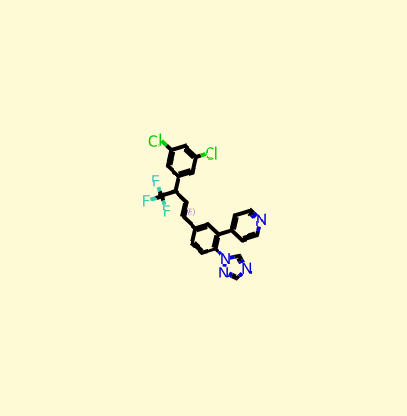 FC(F)(F)C(/C=C/c1ccc(-n2cncn2)c(-c2ccncc2)c1)c1cc(Cl)cc(Cl)c1